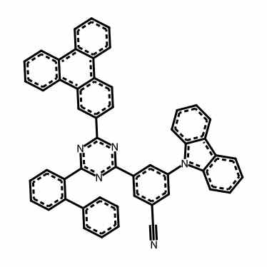 N#Cc1cc(-c2nc(-c3ccc4c5ccccc5c5ccccc5c4c3)nc(-c3ccccc3-c3ccccc3)n2)cc(-n2c3ccccc3c3ccccc32)c1